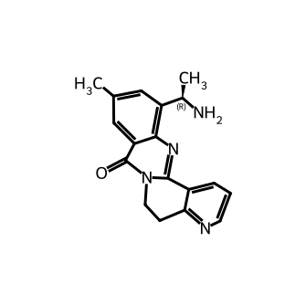 Cc1cc([C@@H](C)N)c2nc3n(c(=O)c2c1)CCc1ncccc1-3